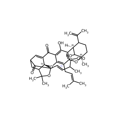 C=C(C)C1CC[C@@]2(C)Oc3c(CC=C(C)C)c4c(c(O)c3[C@@H]1C2O)C(=O)C1=CC2CC3C(C)(C)OC(/C=C/C(C)OC=O)(C2=O)[C@@]13O4